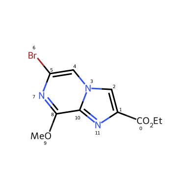 CCOC(=O)c1cn2cc(Br)nc(OC)c2n1